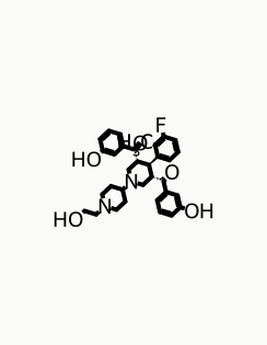 Cc1c(F)cccc1[C@@H]1[C@@H](C(=O)c2cccc(O)c2)CN(C2CCN(CCO)CC2)C[C@H]1C(=O)c1cccc(O)c1